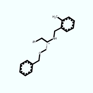 Cc1ccccc1CN[C@H](COCc1ccccc1)CC(C)C